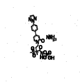 C[C@@](CCn1ccc(-c2ccc(-n3nccn3)cc2)cc1=O)(C(=O)NOP(=O)(O)O)S(C)(=O)=O.N.N